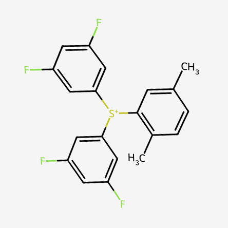 Cc1ccc(C)c([S+](c2cc(F)cc(F)c2)c2cc(F)cc(F)c2)c1